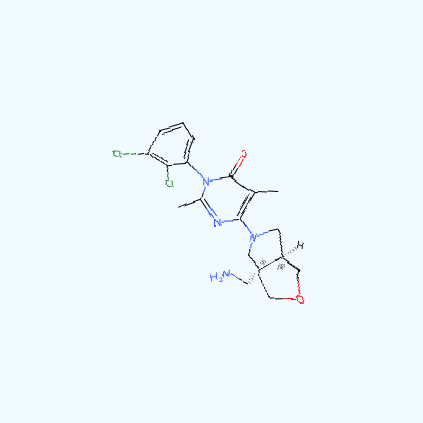 Cc1c(N2C[C@H]3COC[C@@]3(CN)C2)nc(C)n(-c2cccc(Cl)c2Cl)c1=O